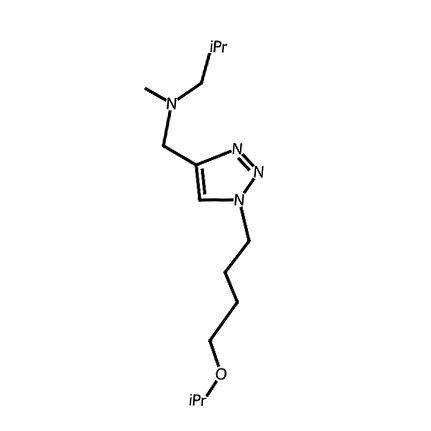 CC(C)CN(C)Cc1cn(CCCCOC(C)C)nn1